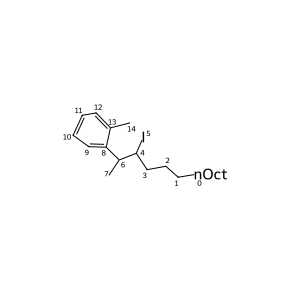 CCCCCCCCCCCC(I)C(C)c1ccccc1C